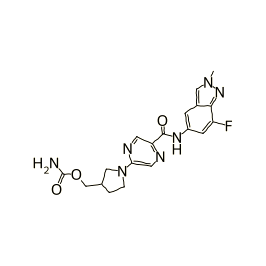 Cn1cc2cc(NC(=O)c3cnc(N4CCC(COC(N)=O)C4)cn3)cc(F)c2n1